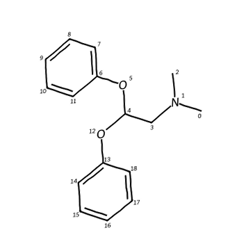 CN(C)CC(Oc1ccccc1)Oc1ccccc1